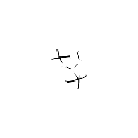 COB(OC(C)(C)C)C(C)(C)C